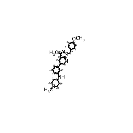 COc1ccc(Cn2nc(C)c3cc(-c4cccc(NC5CCN(C)CC5)c4)cnc32)cc1